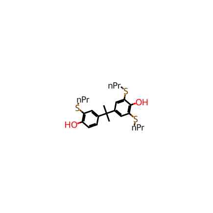 CCCSc1cc(C(C)(C)c2cc(SCCC)c(O)c(SCCC)c2)ccc1O